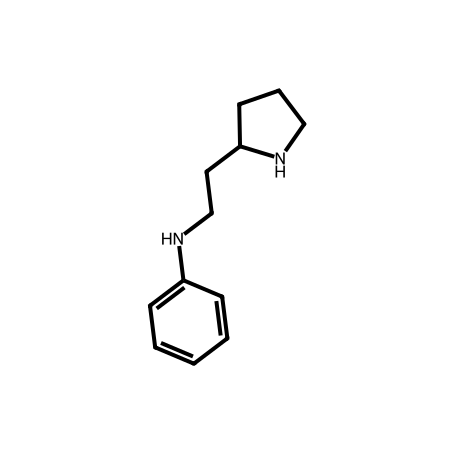 c1ccc(NCCC2CCCN2)cc1